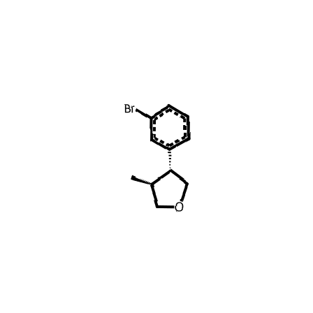 C[C@@H]1COC[C@H]1c1cccc(Br)c1